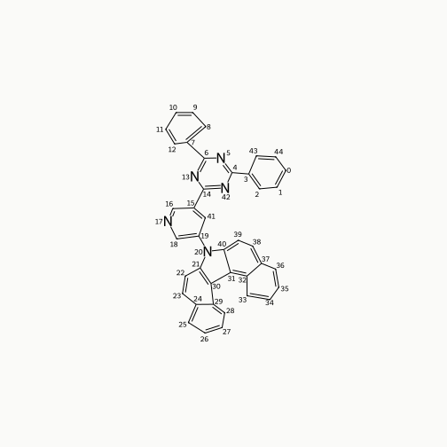 c1ccc(-c2nc(-c3ccccc3)nc(-c3cncc(-n4c5ccc6ccccc6c5c5c6ccccc6ccc54)c3)n2)cc1